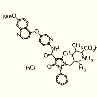 COc1ccc2c(Oc3ccc(NC(=O)c4c(C)n(C[C@H](C)CC(C)C(N)C(=O)O)n(-c5ccccc5)c4=O)nc3)ccnc2c1.Cl